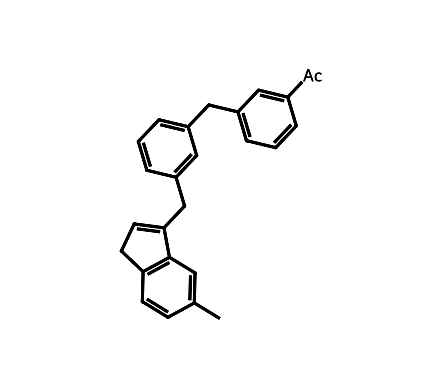 CC(=O)c1cccc(Cc2cccc(CC3=CCc4ccc(C)cc43)c2)c1